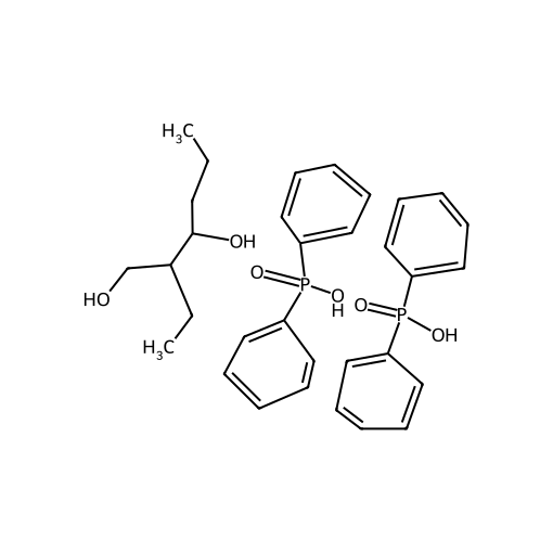 CCCC(O)C(CC)CO.O=P(O)(c1ccccc1)c1ccccc1.O=P(O)(c1ccccc1)c1ccccc1